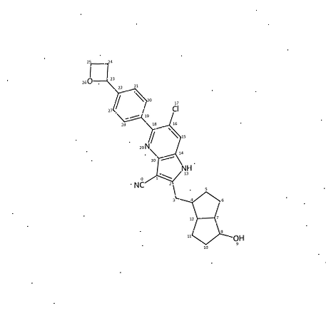 N#Cc1c(CC2CCC3C(O)CCC23)[nH]c2cc(Cl)c(-c3ccc(C4CCO4)cc3)nc12